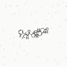 CC(NC(=O)C1CC[C@H]2[C@@H]3CC=C4NC(=O)CC[C@]4(C)[C@@H]3CC[C@]12C)(c1ccccc1)C(F)(F)F